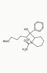 COCCCC(C(F)(F)F)C(O)(c1ccccc1)C1CCCCN1C(N)=O